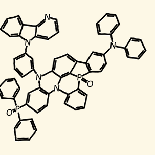 O=P(c1ccccc1)(c1ccccc1)c1ccc2c(c1)N(c1cccc(-n3c4ccccc4c4ncccc43)c1)c1ccc3c4c1N2c1ccccc1P4(=O)c1ccc(N(c2ccccc2)c2ccccc2)cc1-3